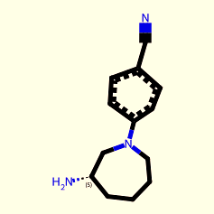 N#Cc1ccc(N2CCCC[C@H](N)C2)cc1